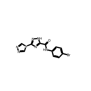 O=C(Nc1ccc(Br)cc1)c1nc(-n2cnnc2)n[nH]1